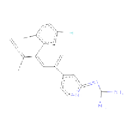 C=C=C(C)/C(=C/C(=C)c1cc[nH]/c(=N\C(N)N)c1)c1cc(F)ccc1C